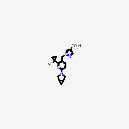 N#CC1(c2nc(N3CC4CC4C3)ccc2Cn2cc(C(=O)O)cn2)CC1